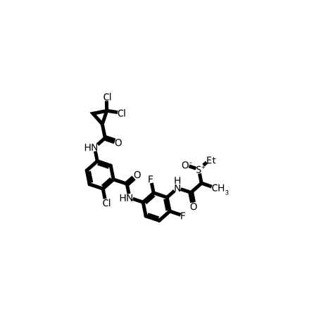 CC[S+]([O-])C(C)C(=O)Nc1c(F)ccc(NC(=O)c2cc(NC(=O)C3CC3(Cl)Cl)ccc2Cl)c1F